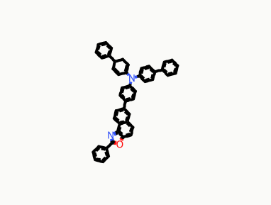 C1=CC(c2ccccc2)CC=C1N(c1ccc(-c2ccccc2)cc1)c1ccc(-c2ccc3c(ccc4oc(-c5ccccc5)nc43)c2)cc1